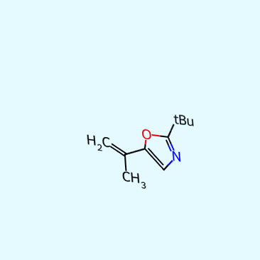 C=C(C)c1cnc(C(C)(C)C)o1